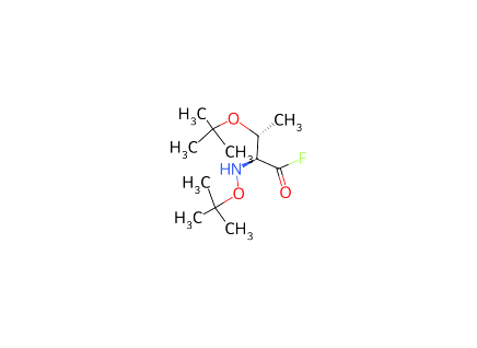 C[C@@H](OC(C)(C)C)[C@H](NOC(C)(C)C)C(=O)F